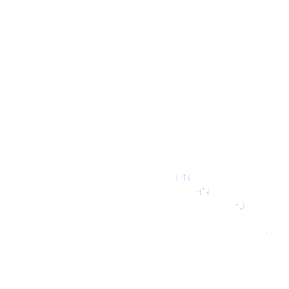 CCCCCCCCCCCCCCCCCCNC(=O)NCCNCCO